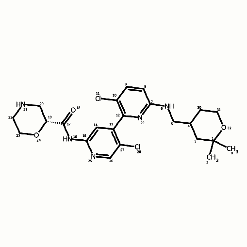 CC1(C)CC(CNc2ccc(Cl)c(-c3cc(NC(=O)[C@H]4CNCCO4)ncc3Cl)n2)CCO1